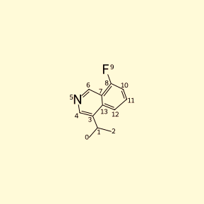 CC(C)c1cncc2c(F)cccc12